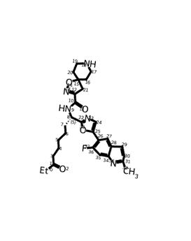 CCC(=O)CCCCC[C@H](NC(=O)C1=NOC2(CCNCC2)C1)c1ncc(-c2cc3ccc(C)nc3cc2F)o1